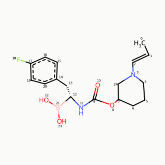 CC=CN1CCCC(OC(=O)N[C@@H](Cc2ccc(F)cc2)B(O)O)C1